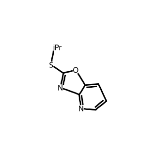 CC(C)Sc1nc2ncccc2o1